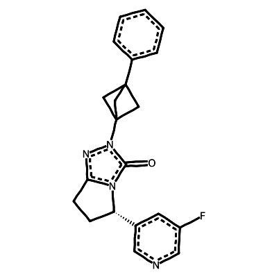 O=c1n(C23CC(c4ccccc4)(C2)C3)nc2n1[C@H](c1cncc(F)c1)CC2